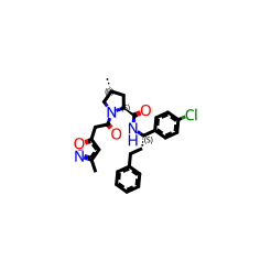 Cc1cc(CC(=O)N2C[C@H](C)C[C@H]2C(=O)N[C@@H](CCc2ccccc2)c2ccc(Cl)cc2)on1